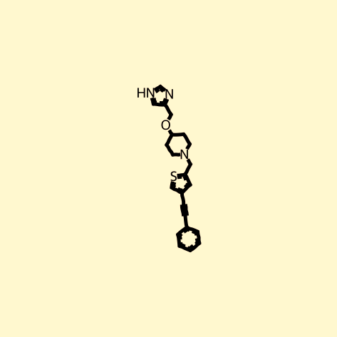 C(#Cc1csc(CN2CCC(OCc3c[nH]cn3)CC2)c1)c1ccccc1